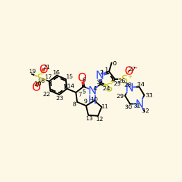 Cc1nc(NC(=O)C(CC2CCCC2)c2ccc(S(C)(=O)=O)cc2)sc1[S+]([O-])N1CCN(C)CC1